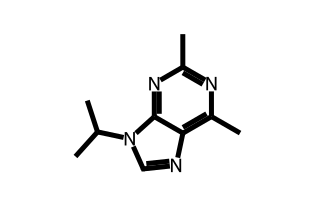 Cc1nc(C)c2ncn(C(C)C)c2n1